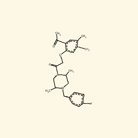 CC(=O)c1cc(C)c(C)cc1OCC(=O)N1CC(C)N(Cc2ccc(F)cc2)CC1C